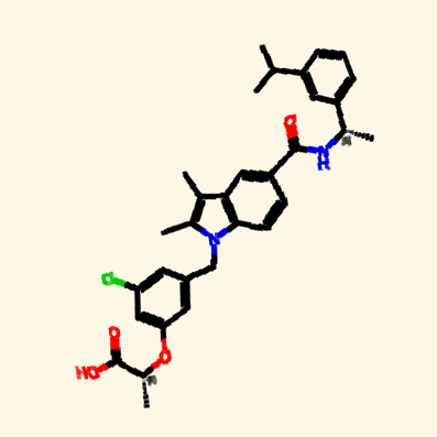 Cc1c(C)n(Cc2cc(Cl)cc(O[C@H](C)C(=O)O)c2)c2ccc(C(=O)N[C@@H](C)c3cccc(C(C)C)c3)cc12